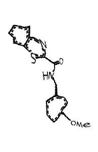 COc1cccc(CNC(=O)c2nc3ccccc3s2)c1